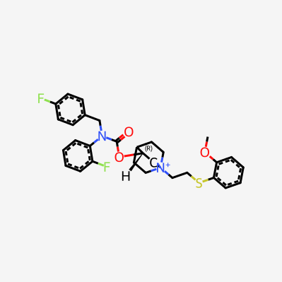 COc1ccccc1SCC[N+]12CCC(CC1)[C@@H](OC(=O)N(Cc1ccc(F)cc1)c1ccccc1F)C2